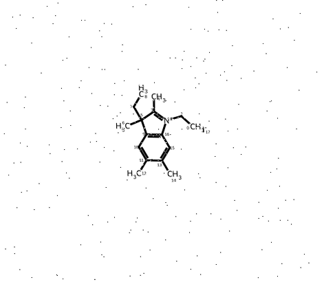 CC[N+]1=C(C)C(C)(CC)c2cc(C)c(C)cc21.[I-]